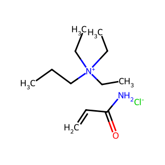 C=CC(N)=O.CCC[N+](CC)(CC)CC.[Cl-]